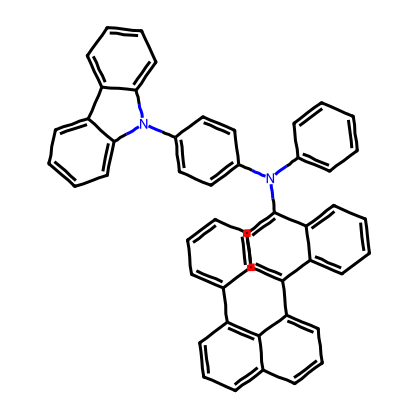 c1ccc(-c2cccc3cccc(-c4ccc(N(c5ccccc5)c5ccc(-n6c7ccccc7c7ccccc76)cc5)c5ccccc45)c23)cc1